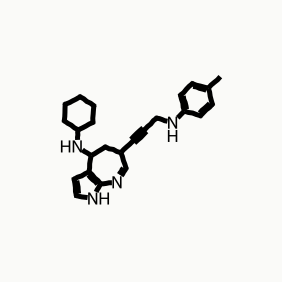 Cc1ccc(NCC#CC2C=Nc3[nH]ccc3C(NC3CCCCC3)C2)cc1